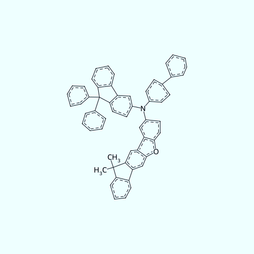 CC1(C)c2ccccc2-c2cc3oc4ccc(N(c5ccc(-c6ccccc6)cc5)c5ccc6c(c5)-c5ccccc5C6(c5ccccc5)c5ccccc5)cc4c3cc21